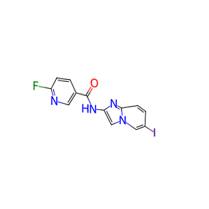 O=C(Nc1cn2cc(I)ccc2n1)c1ccc(F)nc1